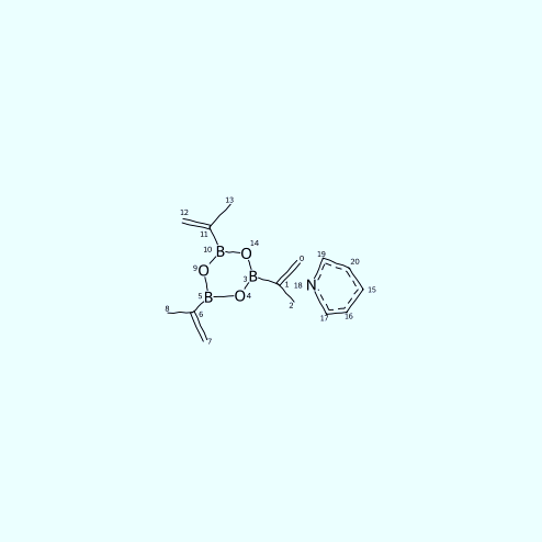 C=C(C)B1OB(C(=C)C)OB(C(=C)C)O1.c1ccncc1